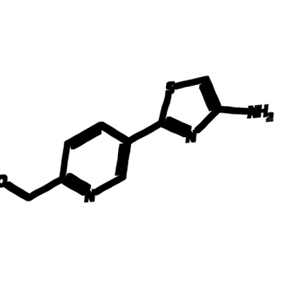 Nc1csc(-c2ccc(C[O])nc2)n1